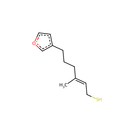 C/C(=C\CS)CCCc1ccoc1